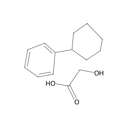 O=C(O)CO.c1ccc(C2CCCCC2)cc1